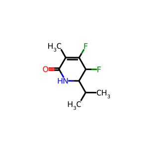 CC1=C(F)C(F)C(C(C)C)NC1=O